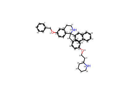 c1ccc(COc2ccc3c(c2)CCNC3(Cc2ccc(OCCC3CCCCN3)cc2)c2ccc3ccccc3c2)cc1